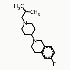 C[C](C)CN1CCC(N2CCc3cc(F)ccc3C2)CC1